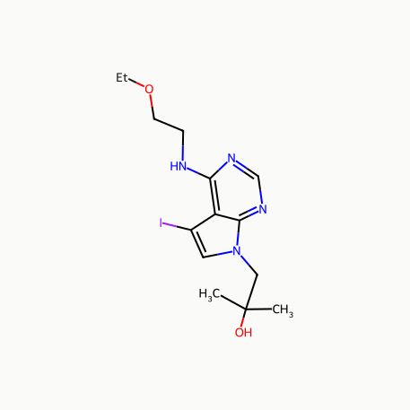 CCOCCNc1ncnc2c1c(I)cn2CC(C)(C)O